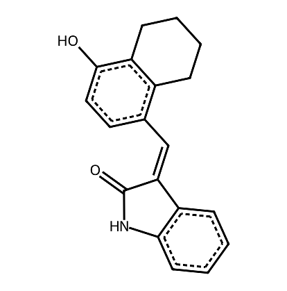 O=C1Nc2ccccc2C1=Cc1ccc(O)c2c1CCCC2